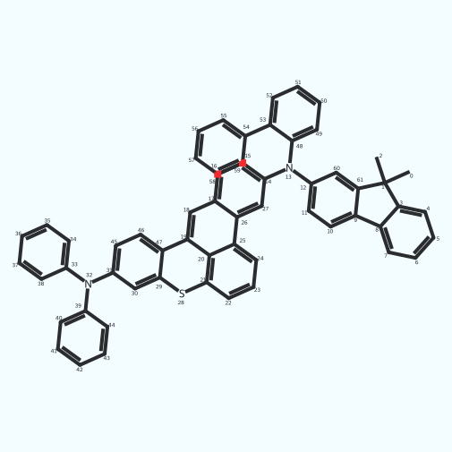 CC1(C)c2ccccc2-c2ccc(N(c3ccc4cc5c6c(cccc6c4c3)Sc3cc(N(c4ccccc4)c4ccccc4)ccc3-5)c3ccccc3-c3ccccc3)cc21